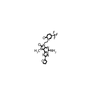 Cn1c(=O)n(CCn2cc(C(F)(F)F)ccc2=O)c2nc(N)n3nc(-c4ccco4)nc3c21